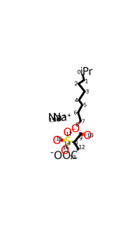 CC(C)CCCCCCCOC(=O)C(CC(=O)[O-])S(=O)(=O)[O-].[Na+].[Na+]